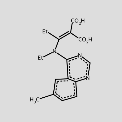 CCC(=C(C(=O)O)C(=O)O)N(CC)c1ncnc2ccc(C)cc12